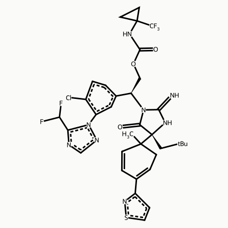 CC(C)(C)C[C@]1(C2(C)C=CC(c3ccsn3)=CC2)NC(=N)N([C@H](COC(=O)NC2(C(F)(F)F)CC2)c2ccc(Cl)c(-n3ncnc3C(F)F)c2)C1=O